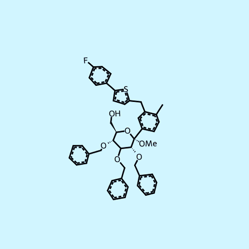 CO[C@@]1(c2ccc(C)c(Cc3ccc(-c4ccc(F)cc4)s3)c2)O[C@H](CO)[C@@H](OCc2ccccc2)C(OCc2ccccc2)[C@H]1OCc1ccccc1